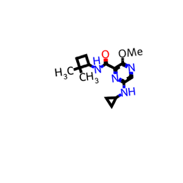 COc1ncc(NC2CC2)nc1C(=O)NC1CCC1(C)C